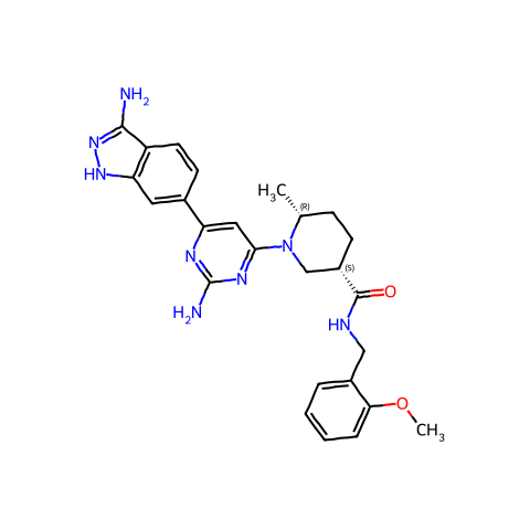 COc1ccccc1CNC(=O)[C@H]1CC[C@@H](C)N(c2cc(-c3ccc4c(N)n[nH]c4c3)nc(N)n2)C1